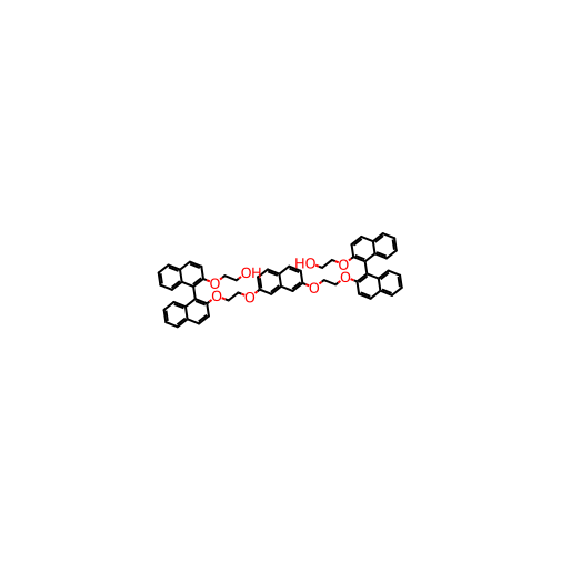 OCCOc1ccc2ccccc2c1-c1c(OCCOc2ccc3ccc(OCCOc4ccc5ccccc5c4-c4c(OCCO)ccc5ccccc45)cc3c2)ccc2ccccc12